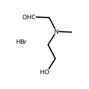 Br.CN(CC=O)CCO